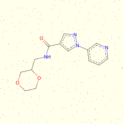 O=C(NCC1COCCO1)c1cnn(-c2cccnc2)c1